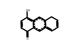 O=C1C=CC(O)=c2cc3c(cc21)=CC=CC3